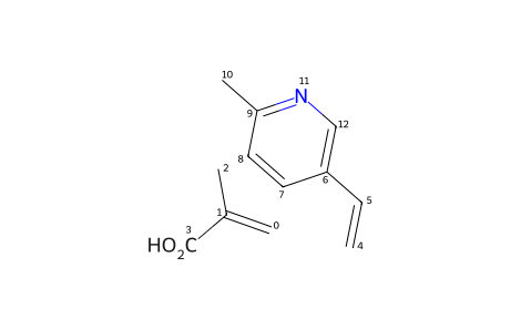 C=C(C)C(=O)O.C=Cc1ccc(C)nc1